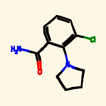 NC(=O)c1cccc(Cl)c1N1CCCC1